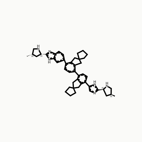 C[C@@H]1CN[C@H](c2ncc(-c3ccc(-c4ccc(-c5ccc6nc([C@@H]7C[C@H](C)CN7)[nH]c6c5)c5c4CC4(CCCC4)C5)c4c3CC3(CCCC3)C4)[nH]2)C1